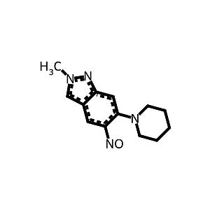 Cn1cc2cc(N=O)c(N3CCCCC3)cc2n1